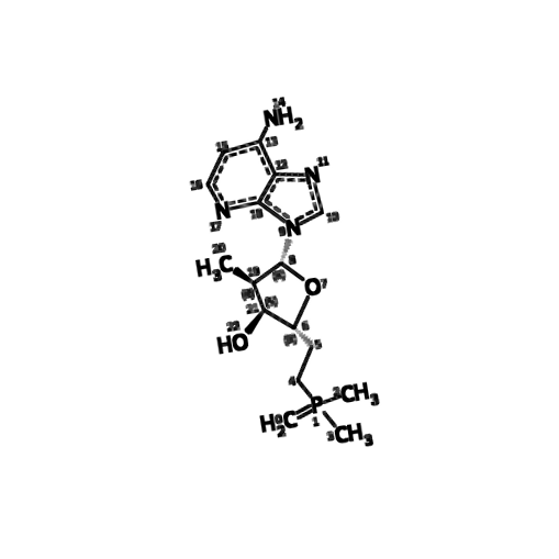 C=P(C)(C)CC[C@H]1O[C@@H](n2cnc3c(N)ccnc32)[C@H](C)[C@@H]1O